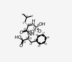 CC(C)C[C@H](NP(=O)(O)O)C(=O)N[C@@H](Cc1ccccc1)C(=O)O